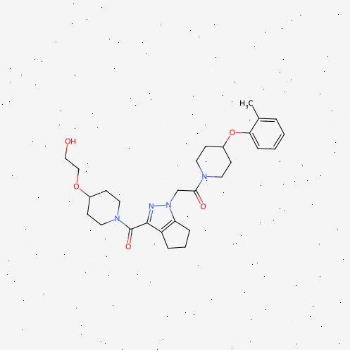 Cc1ccccc1OC1CCN(C(=O)Cn2nc(C(=O)N3CCC(OCCO)CC3)c3c2CCC3)CC1